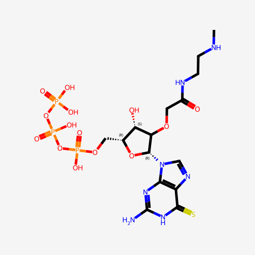 CNCCNC(=O)COC1[C@@H](O)[C@@H](COP(=O)(O)OP(=O)(O)OP(=O)(O)O)O[C@H]1n1cnc2c(=S)[nH]c(N)nc21